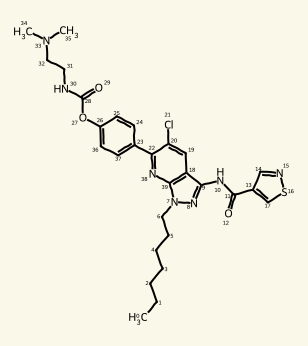 CCCCCCCn1nc(NC(=O)c2cnsc2)c2cc(Cl)c(-c3ccc(OC(=O)NCCN(C)C)cc3)nc21